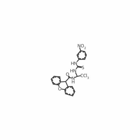 O=C(NC(NC(=S)Nc1cccc([N+](=O)[O-])c1)C(Cl)(Cl)Cl)C1c2ccccc2Oc2ccccc21